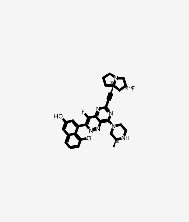 C[C@H]1CN(c2nc(C#C[C@@]34CCCN3C[C@H](F)C4)nc3c(F)c(-c4cc(O)cc5cccc(Cl)c45)nnc23)CCN1